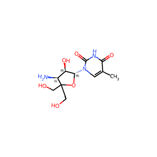 Cc1cn([C@@H]2OC(CO)(CO)[C@@H](N)[C@H]2O)c(=O)[nH]c1=O